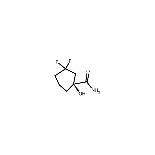 NC(=O)[C@]1(O)CCCC(F)(F)C1